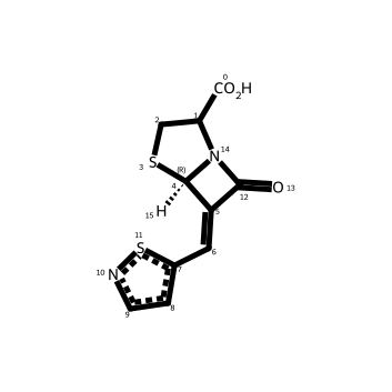 O=C(O)C1CS[C@@H]2C(=Cc3ccns3)C(=O)N12